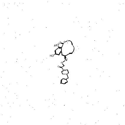 O=C1OCC/C=C/CC/C=C/C(=N/OCC(=O)N2CCC(Cc3ccccc3)CC2)Cc2cc(O)cc(O)c21